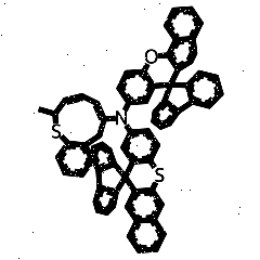 CC1/C=C\C=C(\N(c2ccc3c(c2)C2(c4ccccc4-c4ccccc42)c2ccc4ccccc4c2O3)c2ccc3c(c2)C2(c4cc5ccccc5cc4S3)c3ccccc3-c3ccccc32)Cc2ccccc2S1